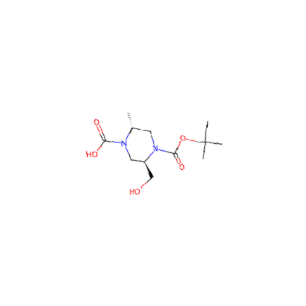 C[C@@H]1CN(C(=O)OC(C)(C)C)[C@@H](CO)CN1C(=O)O